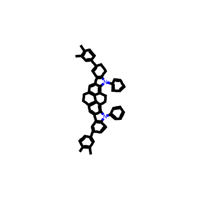 Cc1ccc(C2=Cc3c(n(-c4ccccc4)c4c5c6c(cc34)CCc3cc4c7cc(-c8ccc(C)c(C)c8)ccc7n(-c7ccccc7)c4c(c3-6)CC5)CC2)cc1C